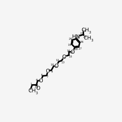 CCC(=O)COCCOCCOCCOCCOc1ccc(NC(C)C)cc1